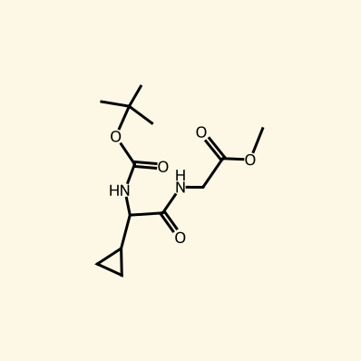 COC(=O)CNC(=O)C(NC(=O)OC(C)(C)C)C1CC1